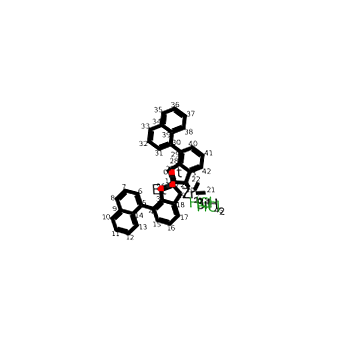 CCC1=Cc2c(-c3cccc4ccccc34)cccc2[CH]1[Zr]([CH3])([CH3])(=[SiH2])[CH]1C(CC)=Cc2c(-c3cccc4ccccc34)cccc21.Cl.Cl